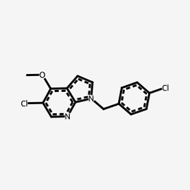 COc1c(Cl)cnc2c1ccn2Cc1ccc(Cl)cc1